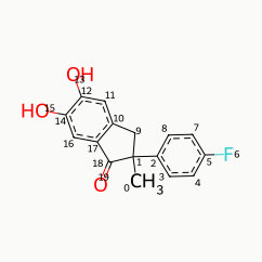 CC1(c2ccc(F)cc2)Cc2cc(O)c(O)cc2C1=O